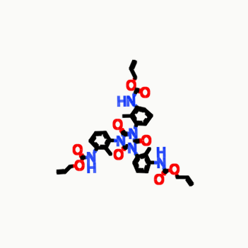 C=CCOC(=O)Nc1cccc(-n2c(=O)n(-c3cccc(NC(=O)OCC=C)c3C)c(=O)n(-c3cccc(NC(=O)OCC=C)c3C)c2=O)c1C